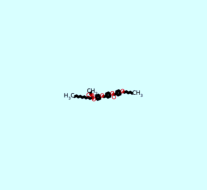 C=CC(=O)OC(CCCCCCCCCC)Oc1ccc(OCc2ccc(OC(=O)c3ccc(OCCCCCC)cc3)cc2)cc1